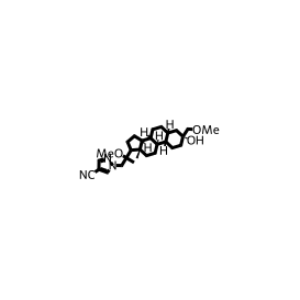 COC[C@@]1(O)CC[C@H]2[C@H](CC[C@@H]3[C@@H]2CC[C@]2(C)C(C(C)(Cn4cc(C#N)cn4)OC)CC[C@@H]32)C1